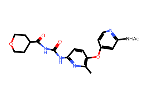 CC(=O)Nc1cc(Oc2ccc(NC(=O)NC(=O)C3CCOCC3)nc2C)ccn1